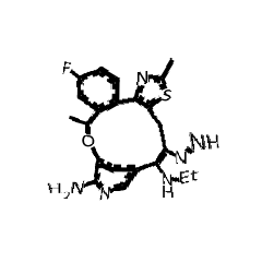 CCN/C1=C(\N=N)Cc2sc(C)nc2-c2ccc(F)cc2C(C)Oc2cc1cnc2N